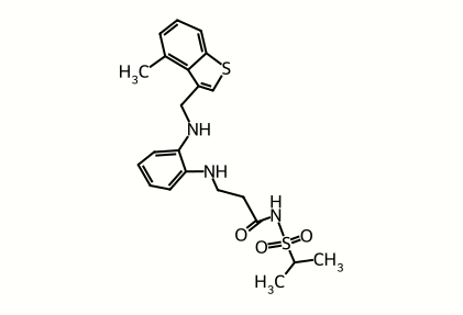 Cc1cccc2scc(CNc3ccccc3NCCC(=O)NS(=O)(=O)C(C)C)c12